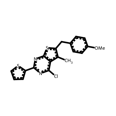 COc1ccc(Cc2sc3nc(-c4cccs4)nc(Cl)c3c2C)cc1